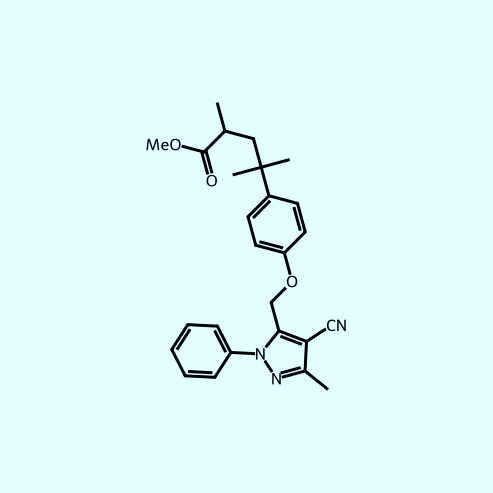 COC(=O)C(C)CC(C)(C)c1ccc(OCc2c(C#N)c(C)nn2-c2ccccc2)cc1